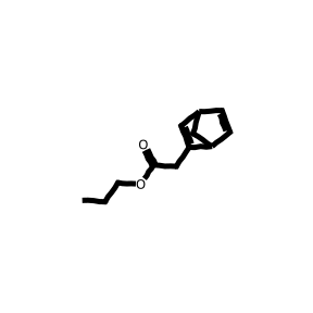 CCCOC(=O)CC1=CC2C=CC1C2